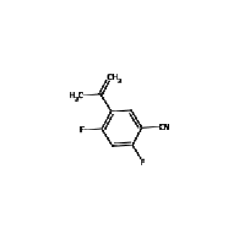 C=C(C)c1cc(C#N)c(F)cc1F